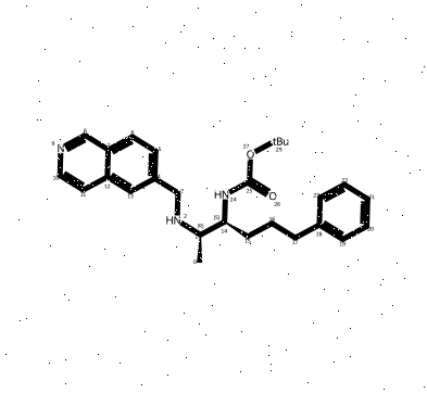 C[C@@H](NCc1ccc2cnccc2c1)[C@H](CCCc1ccccc1)NC(=O)OC(C)(C)C